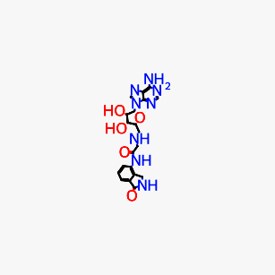 Nc1ncnc2c1ncn2C1OC(CNCC(=O)Nc2cccc3c2CNC3=O)C(O)C1O